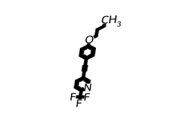 CCCCOc1ccc(C#Cc2ccc(C(F)(F)F)nc2)cc1